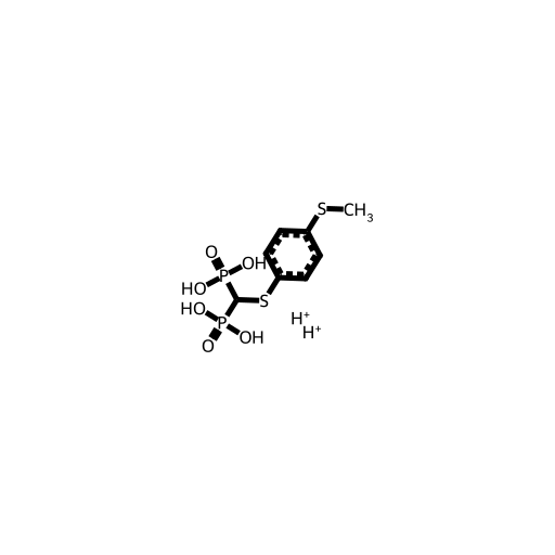 CSc1ccc(SC(P(=O)(O)O)P(=O)(O)O)cc1.[H+].[H+]